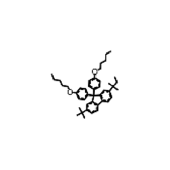 CCCCCOc1ccc(C2(c3ccc(OCCCCC)cc3)c3cc(C(C)(C)C)ccc3-c3ccc(C(C)(C)CC)cc32)cc1